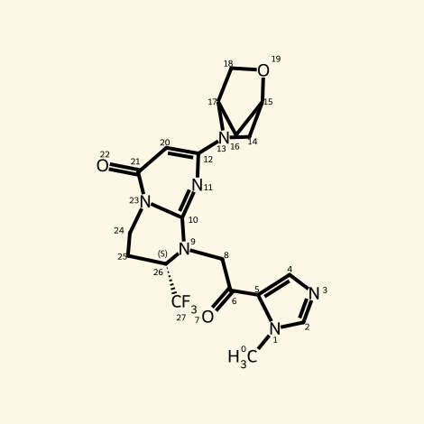 Cn1cncc1C(=O)CN1c2nc(N3CC4CC3CO4)cc(=O)n2CC[C@H]1C(F)(F)F